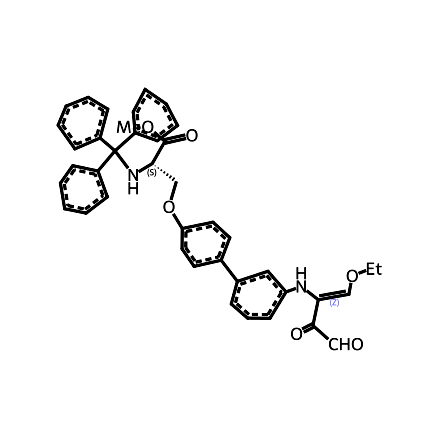 CCO/C=C(\Nc1cccc(-c2ccc(OC[C@H](NC(c3ccccc3)(c3ccccc3)c3ccccc3)C(=O)OC)cc2)c1)C(=O)C=O